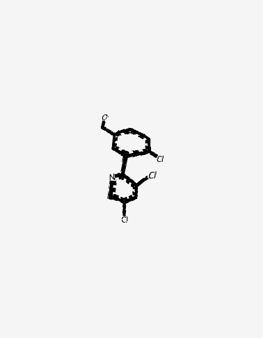 [O]Cc1ccc(Cl)c(-c2ncc(Cl)cc2Cl)c1